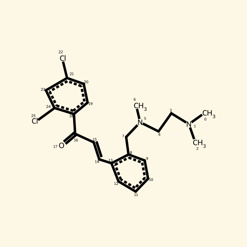 CN(C)CCN(C)Cc1ccccc1/C=C/C(=O)c1ccc(Cl)cc1Cl